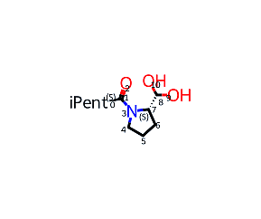 CCC[C@H](C)C(=O)N1CCC[C@H]1C(O)O